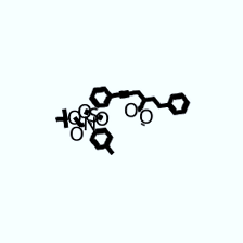 COC(=O)C(CC#Cc1cccc(S(=O)(=O)N(C(=O)OC(C)(C)C)c2ccc(C)cc2)c1)CCc1ccccc1